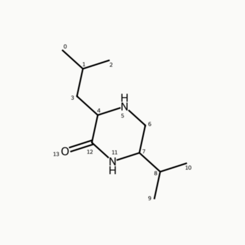 CC(C)CC1NCC(C(C)C)NC1=O